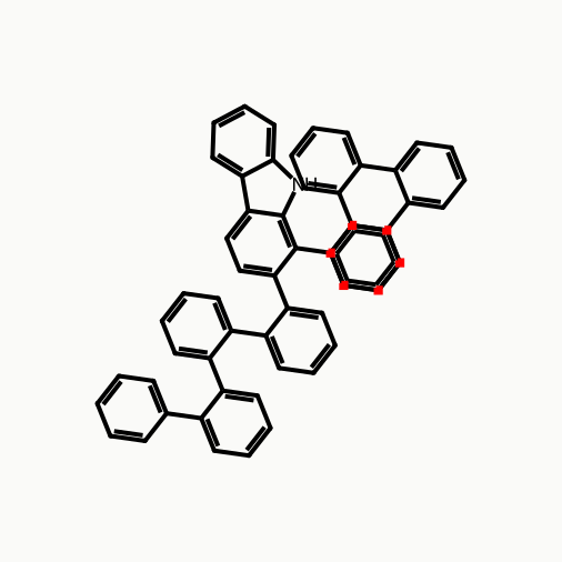 c1ccc(-c2ccccc2-c2ccccc2-c2ccccc2-c2ccc3c([nH]c4ccccc43)c2-c2ccccc2-c2ccccc2-c2ccccc2-c2ccccc2)cc1